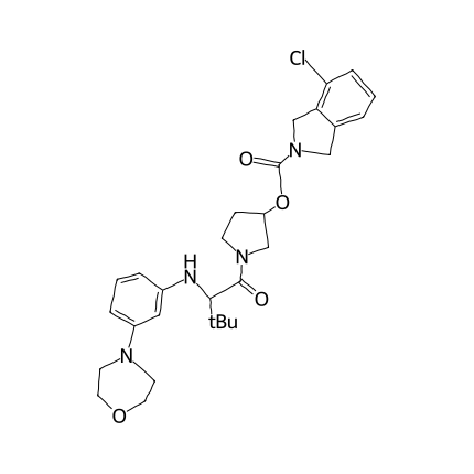 CC(C)(C)C(Nc1cccc(N2CCOCC2)c1)C(=O)N1CCC(OC(=O)N2Cc3cccc(Cl)c3C2)C1